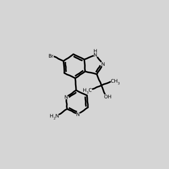 CC(C)(O)c1n[nH]c2cc(Br)cc(-c3ccnc(N)n3)c12